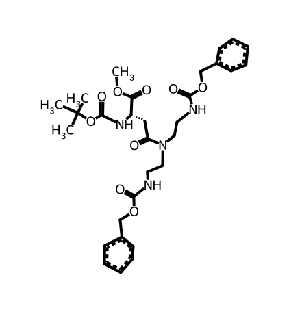 COC(=O)[C@H](CC(=O)N(CCNC(=O)OCc1ccccc1)CCNC(=O)OCc1ccccc1)NC(=O)OC(C)(C)C